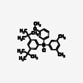 COc1cccc([Si](Cl)(c2cc(C)cc(C)c2)c2cc(C(C)(C)C)cc(C(C)(C)C)c2)c1